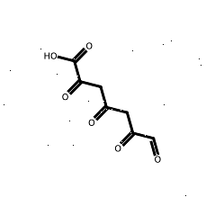 O=CC(=O)CC(=O)CC(=O)C(=O)O